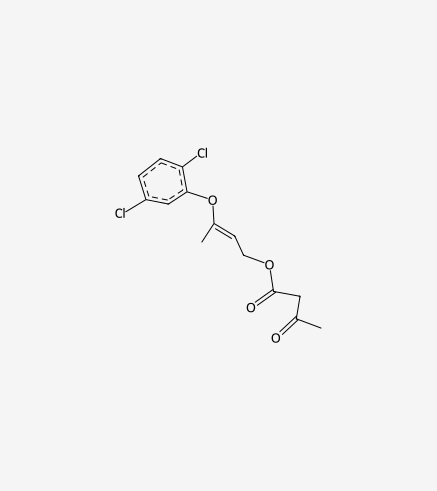 CC(=O)CC(=O)OC/C=C(\C)Oc1cc(Cl)ccc1Cl